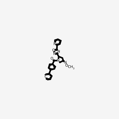 CON=C1CC(c2noc(-c3ccccn3)n2)N(C(=O)c2ccc(-c3ccccc3)cc2)C1